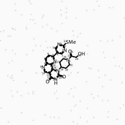 CSc1ncc(-c2ccc3ncc4c(=O)[nH]c(=O)n(C5CCN(C(=O)CO)CC5)c4c3n2)cn1